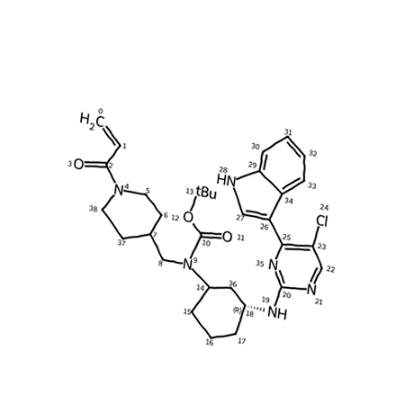 C=CC(=O)N1CCC(CN(C(=O)OC(C)(C)C)C2CCC[C@@H](Nc3ncc(Cl)c(-c4c[nH]c5ccccc45)n3)C2)CC1